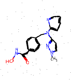 Cn1ccc(N(Cc2ccc(C(=O)NO)cc2)c2ccccn2)n1